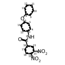 O=C(Nc1ccc(Oc2ccccc2)cc1)c1ccc([N+](=O)[O-])c([N+](=O)[O-])c1